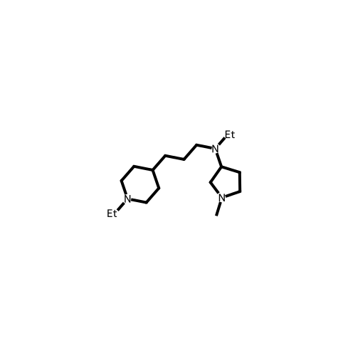 CCN1CCC(CCCN(CC)C2CCN(C)C2)CC1